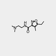 CCc1onc(C(=O)NCCN(C)C)c1C